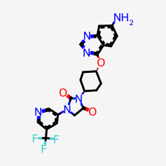 Nc1ccc2c(O[C@H]3CC[C@H](N4C(=O)CN(c5cncc(C(F)(F)F)c5)C4=O)CC3)ncnc2c1